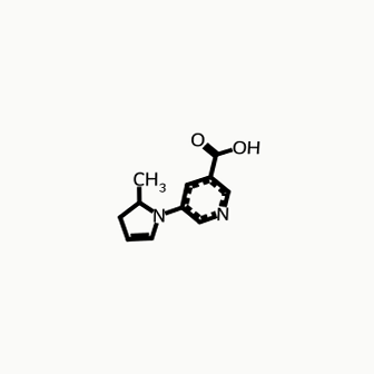 CC1CC=CN1c1cncc(C(=O)O)c1